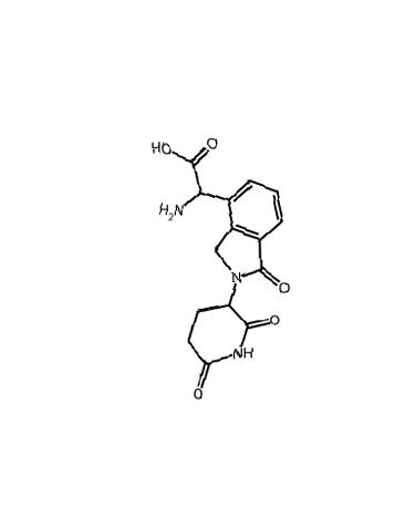 NC(C(=O)O)c1cccc2c1CN(C1CCC(=O)NC1=O)C2=O